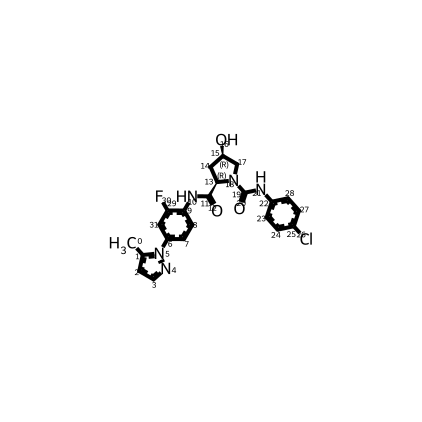 Cc1ccnn1-c1ccc(NC(=O)[C@H]2C[C@@H](O)CN2C(=O)Nc2ccc(Cl)cc2)c(F)c1